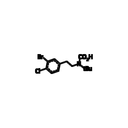 CC(C)(C)N(CCc1ccc(Cl)c(Br)c1)C(=O)O